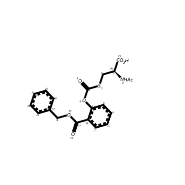 CC(=O)N[C@@H](CSC(=O)Oc1ccccc1C(=O)OCc1ccccc1)C(=O)O